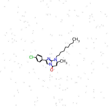 CCCCCCCCCn1c(C)cc(=O)n2cc(-c3ccc(Cl)cc3)nc12